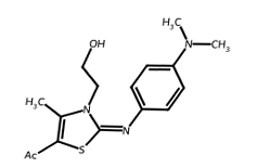 CC(=O)c1sc(=Nc2ccc(N(C)C)cc2)n(CCO)c1C